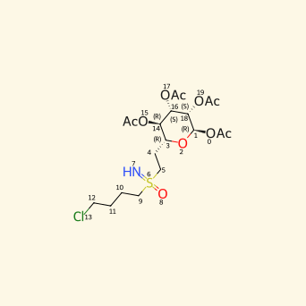 CC(=O)O[C@H]1O[C@H](CCS(=N)(=O)CCCCCl)[C@@H](OC(C)=O)[C@H](OC(C)=O)[C@@H]1OC(C)=O